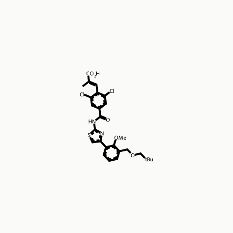 COc1c(COCC(C)(C)C)cccc1-c1csc(NC(=O)c2cc(Cl)c(C=C(C)C(=O)O)c(Cl)c2)n1